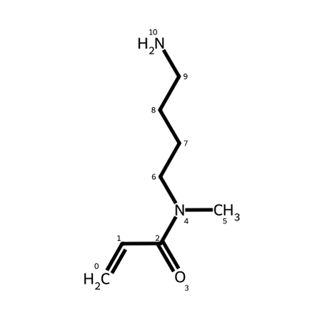 C=CC(=O)N(C)CCCCN